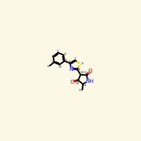 Cc1cccc(-c2csc(C3C(=O)NC(C)C3=O)n2)c1